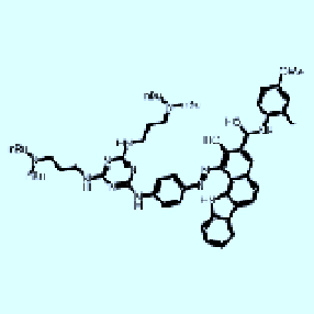 CCCCN(CCCC)CCCNc1nc(NCCCN(CCCC)CCCC)nc(Nc2ccc(N=Nc3c(O)c(C(O)Nc4ccc(OC)cc4C)cc4ccc5c6ccccc6[nH]c5c34)cc2)n1